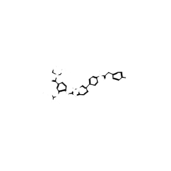 CCN(CC)C(=O)c1ccc(Nc2nc3ccc(-c4ccc(NC(=O)Cc5ccc(F)cc5)cc4)cn3n2)c(OC(C)C)c1